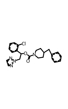 O=C(OC(Cn1nccn1)c1ccccc1Cl)N1CCC(Cc2ccccc2)CC1